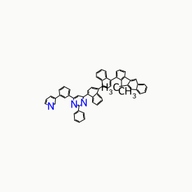 CC1(C)c2cc3ccccc3cc2-c2cccc(-c3ccc(-c4ccc(-c5cc(-c6cccc(-c7cccnc7)c6)nc(-c6ccccc6)n5)c5ccccc45)c4ccccc34)c21